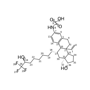 C=CC12CCc3cc(NS(=O)(=O)O)ccc3C1[C@@H](CCCCCC[C@H](O)C(F)(F)F)C[C@@]1(C)C2CC[C@@H]1O